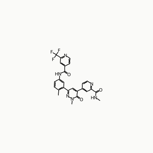 CNC(=O)c1cc(-c2cc(-c3cc(NC(=O)c4ccnc(C(F)(F)F)c4)ccc3C)nn(C)c2=O)ccn1